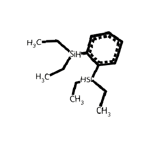 CC[SiH](CC)c1ccccc1[SiH](CC)CC